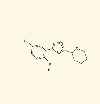 O=Cc1ccc(Cl)cc1-c1cnn(C2CCCCO2)c1